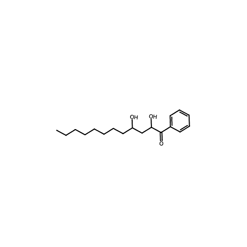 CCCCCCCCC(O)CC(O)C(=O)c1ccccc1